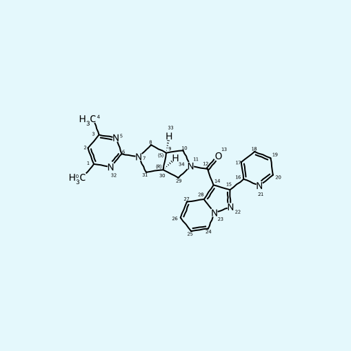 Cc1cc(C)nc(N2C[C@H]3CN(C(=O)c4c(-c5ccccn5)nn5ccccc45)C[C@H]3C2)n1